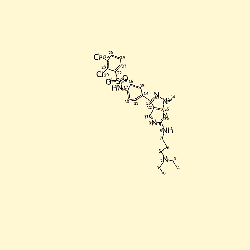 CCN(CC)CCCNc1ncc2c(-c3ccc(NS(=O)(=O)c4cccc(Cl)c4Cl)cc3)nn(C)c2n1